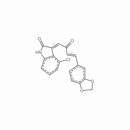 O=C(/C=C/c1ccc2c(c1)OCO2)/C=C1/C(=O)Nc2cccc(Cl)c21